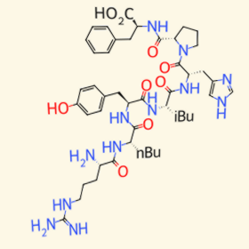 CCCC[C@H](NC(=O)[C@@H](N)CCCNC(=N)N)C(=O)N[C@@H](Cc1ccc(O)cc1)C(=O)N[C@H](C(=O)N[C@@H](Cc1c[nH]cn1)C(=O)N1CCC[C@H]1C(=O)N[C@@H](Cc1ccccc1)C(=O)O)[C@@H](C)CC